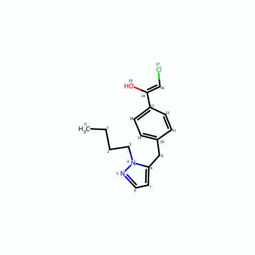 CCCCn1nccc1Cc1ccc(C(O)=CCl)cc1